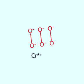 [Cr+6].[O-][O-].[O-][O-].[O-][O-]